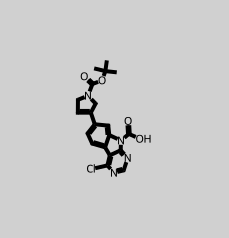 CC(C)(C)OC(=O)N1CC=C(c2ccc3c4c(Cl)ncnc4n(C(=O)O)c3c2)C1